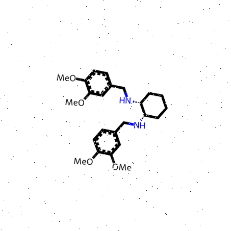 COc1ccc(CN[C@H]2CCCC[C@H]2NCc2ccc(OC)c(OC)c2)cc1OC